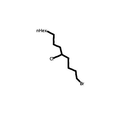 CCCCCCCCCC(Cl)CCCCBr